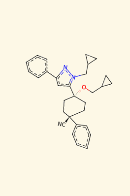 N#C[C@]1(c2ccccc2)CC[C@](OCC2CC2)(c2cc(-c3ccccc3)nn2CC2CC2)CC1